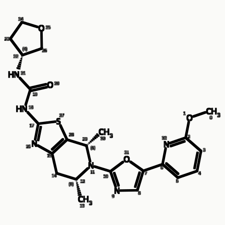 COc1cccc(-c2cnc(N3[C@H](C)Cc4nc(NC(=O)N[C@@H]5CCOC5)sc4[C@@H]3C)o2)n1